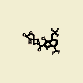 O=C1NC2(CO1)CN(C(=O)c1sc3c(C(F)F)ccc(CC(F)(F)F)c3c1Cl)C2